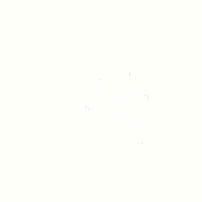 CC(C1CCCO1)N(C(=O)c1cc(Br)cnc1Cl)C1CC1